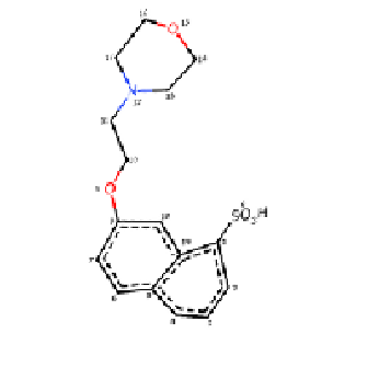 O=S(=O)(O)c1cccc2ccc(OCCN3CCOCC3)cc12